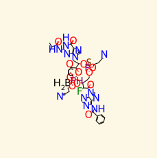 B[PH]1(OCCC#N)OCC2OC(n3cnc4c(=O)[nH]c(NC(=O)C(C)C)nc43)C(OP(=S)(OCCC#N)OCC3OC(n4cnc5c(NC(=O)c6ccccc6)ncnc54)C(F)C3O1)C2OC